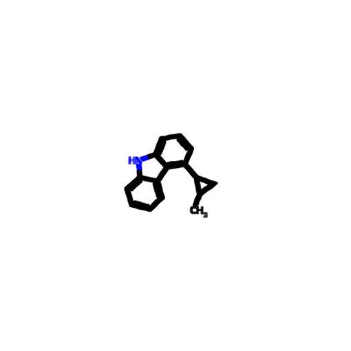 CC1CC1c1cccc2[nH]c3ccccc3c12